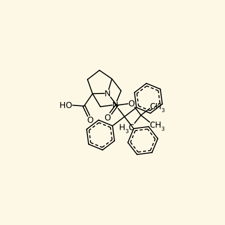 CC(C)(C)OC(=O)N1C2CCC1(C(=O)O)CN(C(c1ccccc1)(c1ccccc1)c1ccccc1)C2